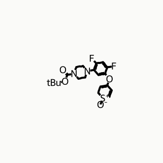 CC(C)(C)OC(=O)N1CCN(c2cc(OC3=CC[S+]([O-])C=C3)c(F)cc2F)CC1